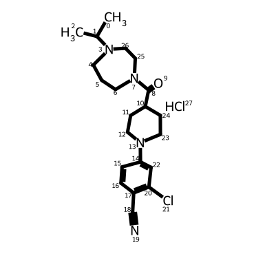 CC(C)N1CCCN(C(=O)C2CCN(c3ccc(C#N)c(Cl)c3)CC2)CC1.Cl